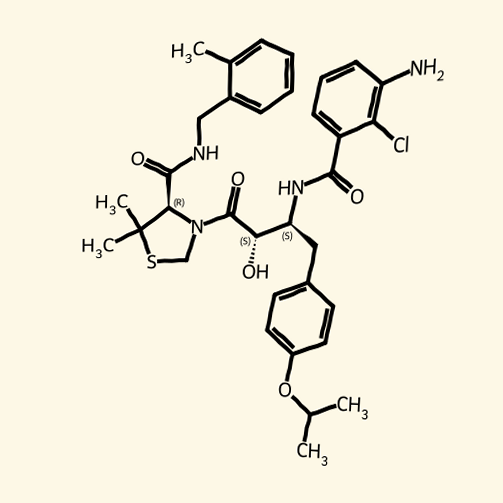 Cc1ccccc1CNC(=O)[C@H]1N(C(=O)[C@@H](O)[C@H](Cc2ccc(OC(C)C)cc2)NC(=O)c2cccc(N)c2Cl)CSC1(C)C